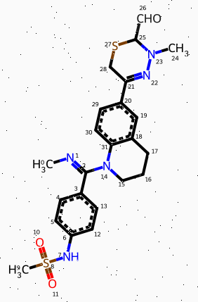 CN=C(c1ccc(NS(C)(=O)=O)cc1)N1CCCc2cc(C3=NN(C)C(C=O)SC3)ccc21